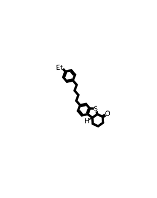 CCc1ccc(CCCCc2ccc3c(c2)SC2C(=O)CCC[C@H]32)cc1